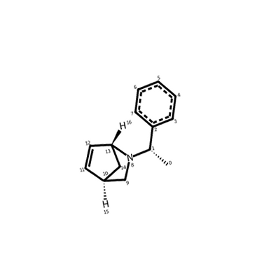 C[C@@H](c1ccccc1)N1C[C@H]2C=C[C@H]1C2